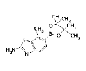 Cc1c(B2OC(C)(C)C(C)(C)O2)ccc2nc(N)sc12